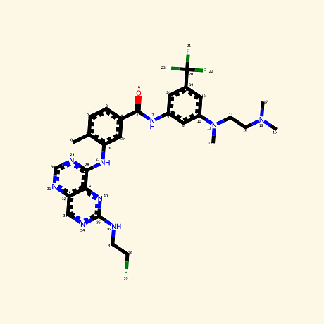 Cc1ccc(C(=O)Nc2cc(N(C)CCN(C)C)cc(C(F)(F)F)c2)cc1Nc1ncnc2cnc(NCCF)nc12